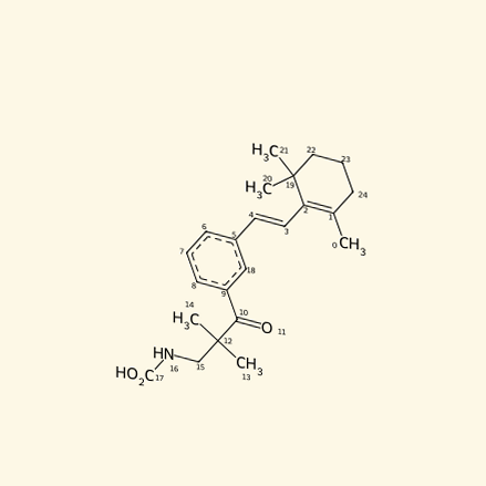 CC1=C(C=Cc2cccc(C(=O)C(C)(C)CNC(=O)O)c2)C(C)(C)CCC1